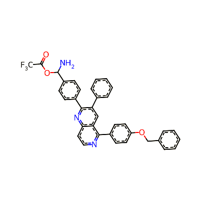 NC(OC(=O)C(F)(F)F)c1ccc(-c2nc3ccnc(-c4ccc(OCc5ccccc5)cc4)c3cc2-c2ccccc2)cc1